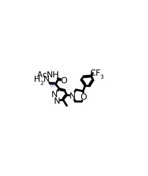 CC(=O)NC(=O)/C(=C\N)c1cc(N2CCOC(c3ccc(C(F)(F)F)cc3)C2)c(C)nn1